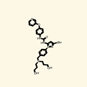 CC(C)(C)c1cc(NC(=O)Nc2ccc(Oc3cccnc3)cc2)n(-c2ccc(CN(CCCO)CCCO)cc2)n1